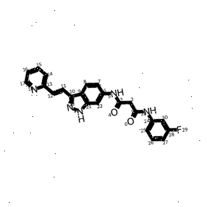 O=C(CC(=O)Nc1ccc2c(/C=C/c3ccccn3)n[nH]c2c1)Nc1cccc(F)c1